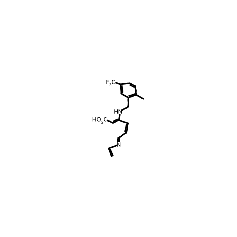 C=C/N=C/C=C\C(=C\C(=O)O)NCc1cc(C(F)(F)F)ccc1C